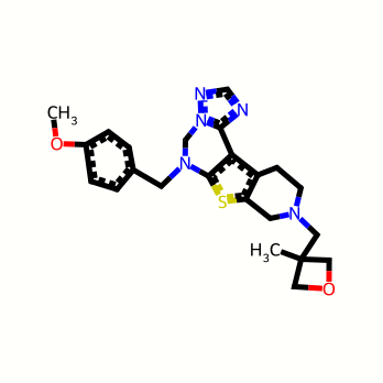 COc1ccc(CN2Cn3ncnc3-c3c2sc2c3CCN(CC3(C)COC3)C2)cc1